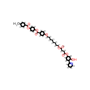 Cc1ccc(C(=O)Oc2ccc(OC(=O)c3ccc(OCCCCCCCCOC(=O)CCC(=O)Oc4ccc(-c5ccccn5)c(O)c4)cc3)cc2)cc1